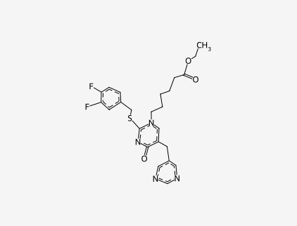 CCOC(=O)CCCCCn1cc(Cc2cncnc2)c(=O)nc1SCc1ccc(F)c(F)c1